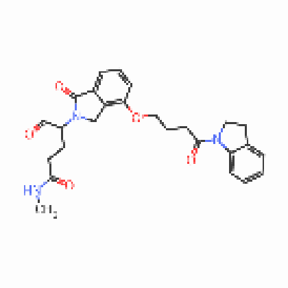 CNC(=O)CCC(C=O)N1Cc2c(OCCCC(=O)N3CCc4ccccc43)cccc2C1=O